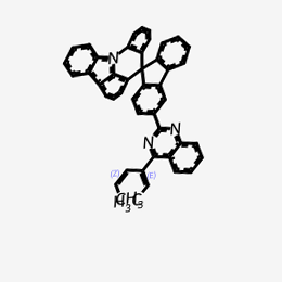 C/C=C\C(=C/C)c1nc(-c2ccc3c(c2)-c2ccccc2C32c3ccccc3-n3c4ccccc4c4cccc2c43)nc2ccccc12